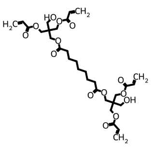 C=CC(=O)OCC(CO)(COC(=O)C=C)COC(=O)CCCCCCCC(=O)OCC(CO)(COC(=O)C=C)COC(=O)C=C